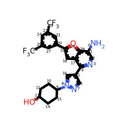 Nc1cnc(-c2cnn(C3CCC(O)CC3)c2)c2cc(-c3cc(C(F)(F)F)cc(C(F)(F)F)c3)oc12